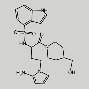 Nc1cccn1CCC(NS(=O)(=O)c1cccc2[nH]ccc12)C(=O)N1CCC(CO)CC1